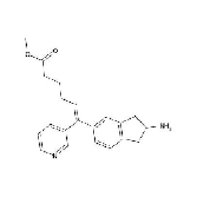 COC(=O)CCCC=C(c1cccnc1)c1ccc2c(c1)CC(N)C2